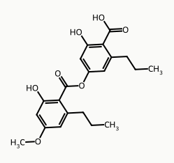 CCCc1cc(OC(=O)c2c(O)cc(OC)cc2CCC)cc(O)c1C(=O)O